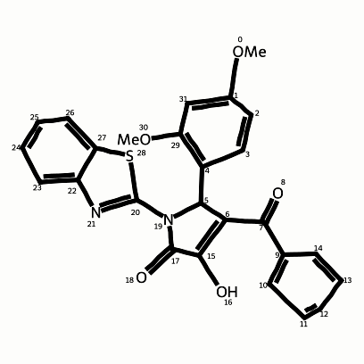 COc1ccc(C2C(C(=O)c3ccccc3)=C(O)C(=O)N2c2nc3ccccc3s2)c(OC)c1